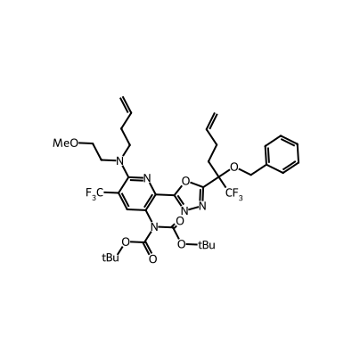 C=CCCN(CCOC)c1nc(-c2nnc(C(CCC=C)(OCc3ccccc3)C(F)(F)F)o2)c(N(C(=O)OC(C)(C)C)C(=O)OC(C)(C)C)cc1C(F)(F)F